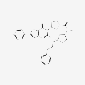 Cc1nc2cc(-c3ccc(F)cc3)sc2c(=O)n1[C@H]1CCN(C(=O)N(C)[C@H]2CCN(CCCc3ccccc3)C2)C1